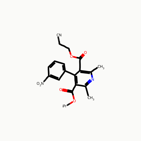 Cc1nc(C)c(C(=O)OC(C)C)c(-c2cccc([N+](=O)[O-])c2)c1C(=O)OCCC#N